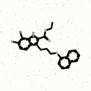 CCOC(=O)c1[nH]c2c(Br)c(F)ccc2c1CCCOc1cccc2ccccc12